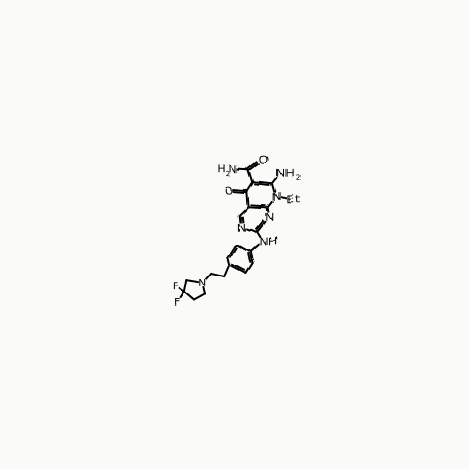 CCn1c(N)c(C(N)=O)c(=O)c2cnc(Nc3ccc(CCN4CCC(F)(F)C4)cc3)nc21